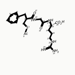 CC(=O)SCC(Cc1ccccc1)C(=O)NCC(=O)N[C@@H](CCCNC(=N)N)C(=O)O